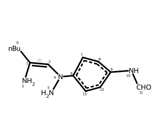 CCCC/C(N)=C/N(N)c1ccc(NC=O)cc1